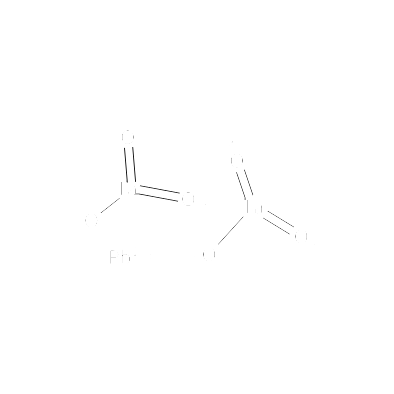 [O]=[Ta](=[O])[O-].[O]=[Ta](=[O])[O-].[Pb+2]